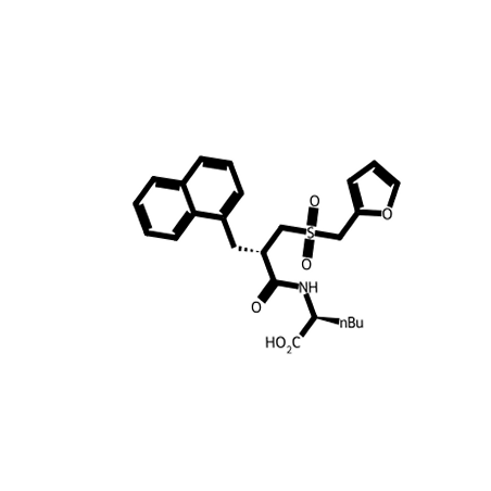 CCCC[C@H](NC(=O)[C@H](Cc1cccc2ccccc12)CS(=O)(=O)Cc1ccco1)C(=O)O